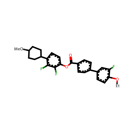 CCOc1ccc(-c2ccc(C(=O)Oc3ccc(C4CCC(OC)CC4)c(F)c3F)cc2)cc1F